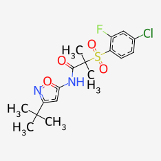 CC(C)(C)c1cc(NC(=O)C(C)(C)S(=O)(=O)c2ccc(Cl)cc2F)on1